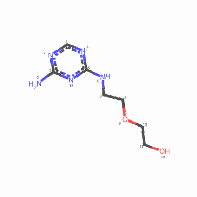 Nc1n[c]nc(NCCOCCO)n1